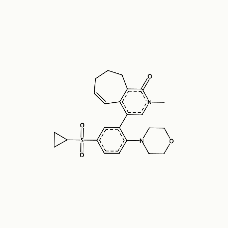 Cn1cc(-c2cc(S(=O)(=O)C3CC3)ccc2N2CCOCC2)c2c(c1=O)CCCC=C2